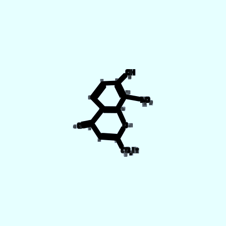 CCOC(=O)c1cc(=O)c2ccc(O)c([N+](=O)[O-])c2o1